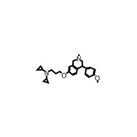 COc1ccc(C2CN(C)Cc3cc(OCCCN(C4CC4)C4CC4)ccc32)cc1